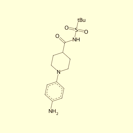 CC(C)(C)S(=O)(=O)NC(=O)C1CCN(c2ccc(N)cc2)CC1